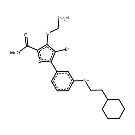 CCOC(=O)COc1c(C(=O)OC)sc(-c2cccc(NCCC3CCCCC3)c2)c1Br